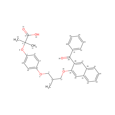 CC(COc1ccc(OC(C)(C)C(=O)O)cc1)COc1cc2ccccc2cc1C(=O)c1ccccc1